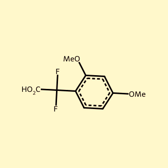 COc1ccc(C(F)(F)C(=O)O)c(OC)c1